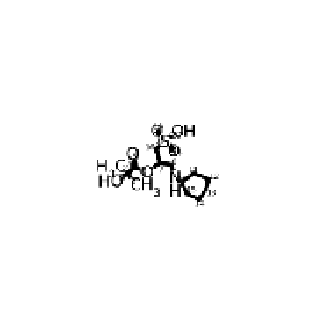 CC(C)(O)C(=O)OC(CNC1CCCCC1)CS(=O)(=O)O